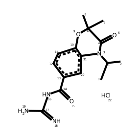 CC(C)N1C(=O)C(C)(C)Oc2ccc(C(=O)NC(=N)N)cc21.Cl